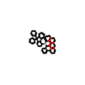 c1ccc(-c2ccccc2N(c2cccc3c2-c2ccccc2C3(c2ccccc2)c2ccccc2)c2c(-c3ccccc3)c3ccccc3c3ccccc23)cc1